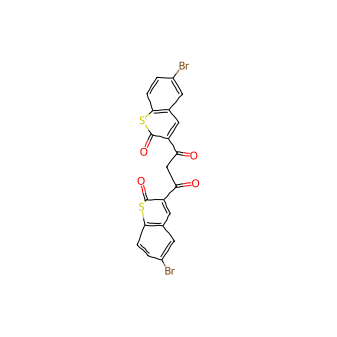 O=C(CC(=O)c1cc2cc(Br)ccc2sc1=O)c1cc2cc(Br)ccc2sc1=O